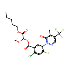 CCCCCOC(=O)C(OC)OC(=O)c1cc(-n2ncc(C(F)(F)F)c(C)c2=O)c(F)cc1Cl